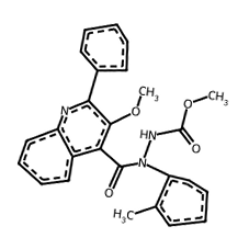 COC(=O)NN(C(=O)c1c(OC)c(-c2ccccc2)nc2ccccc12)c1ccccc1C